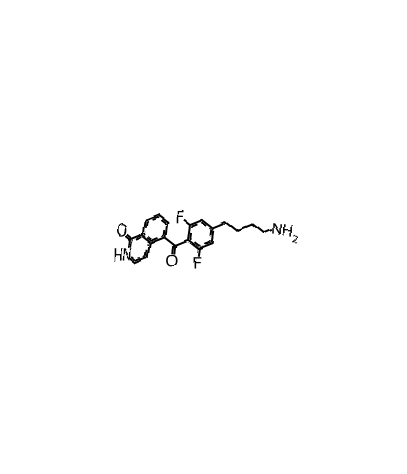 NCCCCc1cc(F)c(C(=O)c2cccc3c(=O)[nH]ccc23)c(F)c1